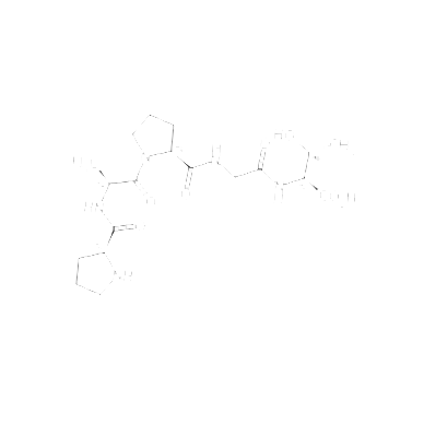 C[C@H](NC(=O)[C@@H]1CCCN1)C(=O)N1CCC[C@H]1C(=O)NCC(=O)N[C@H](C(=O)O)[C@@H](C)O